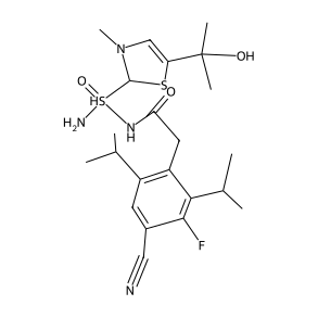 CC(C)c1cc(C#N)c(F)c(C(C)C)c1CC(=O)N[SH](N)(=O)C1SC(C(C)(C)O)=CN1C